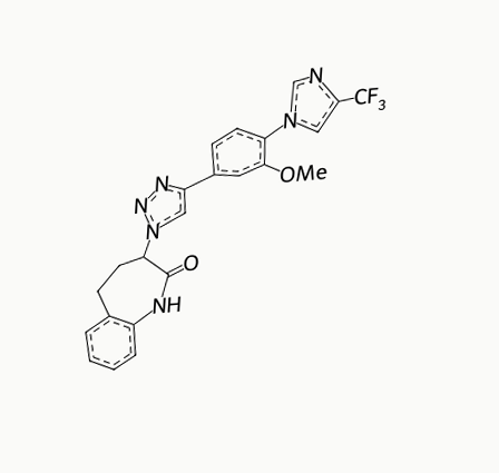 COc1cc(-c2cn(C3CCc4ccccc4NC3=O)nn2)ccc1-n1cnc(C(F)(F)F)c1